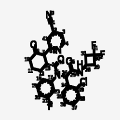 N#Cc1ccnc(C2C(=O)CCC[C@H]2C(=O)N(c2cccc(F)c2)[C@H](C(=O)NC2CC(F)(F)C2)c2ccccc2Cl)c1